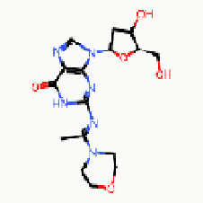 C/C(=N\c1nc2c(ncn2[C@H]2CC(O)[C@@H](CO)O2)c(=O)[nH]1)N1CCOCC1